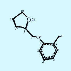 Cc1ccc[c]c1OCC1CCCO1